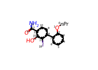 CCCOc1ccccc1-c1ccc(C(N)=O)c(O)c1I